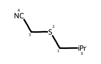 CC(C)CSCC#N